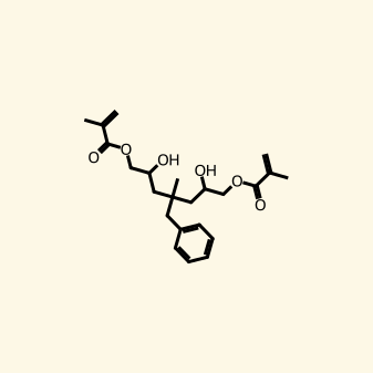 C=C(C)C(=O)OCC(O)CC(C)(Cc1ccccc1)CC(O)COC(=O)C(=C)C